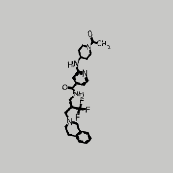 CC(=O)N1CCC(Nc2cc(C(=O)NCC(CN3CCc4ccccc4C3)C(F)(F)F)ccn2)CC1